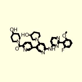 COc1cccc(F)c1-c1nccc(Nc2cc(N3CCC[C@H](O)C3)c(-c3ccc(C(=O)N4CCC(O)CC4)nc3)cn2)n1